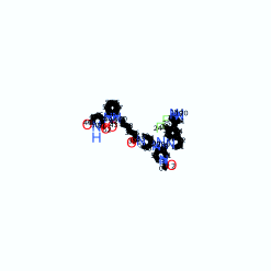 CC(=O)N1CCc2c(c(N3CCCc4cc(-c5cnn(C)c5)c(C(F)F)cc43)nn2C2CCN(C(=O)CCCCCn3c(=O)n(C4CCC(=O)NC4=O)c4ccccc43)CC2)C1